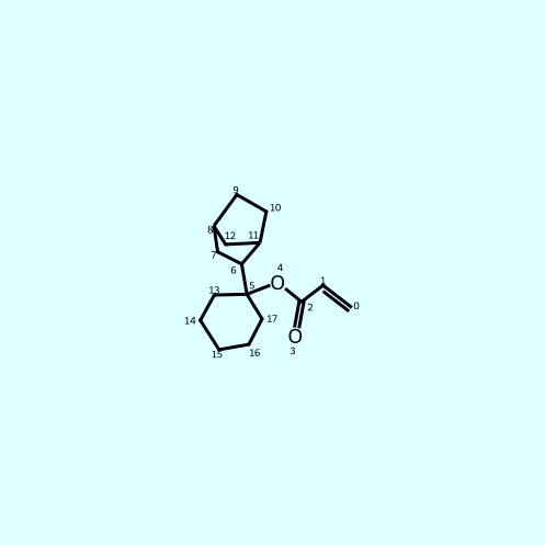 C=CC(=O)OC1(C2CC3CCC2C3)CCCCC1